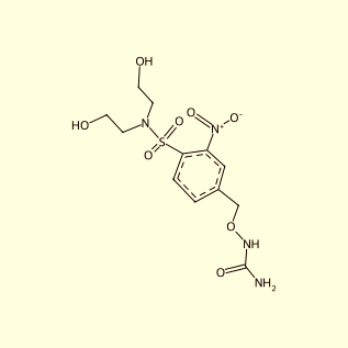 NC(=O)NOCc1ccc(S(=O)(=O)N(CCO)CCO)c([N+](=O)[O-])c1